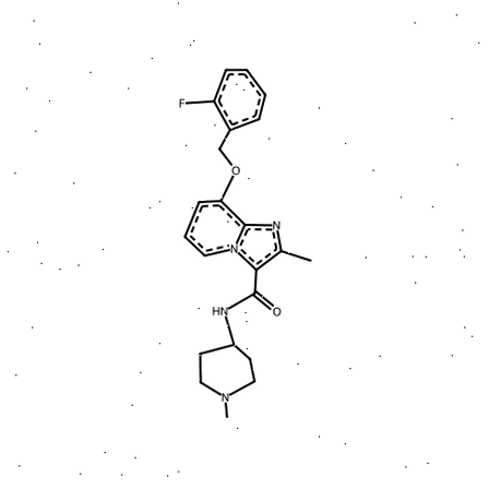 Cc1nc2c(OCc3ccccc3F)cccn2c1C(=O)NC1CCN(C)CC1